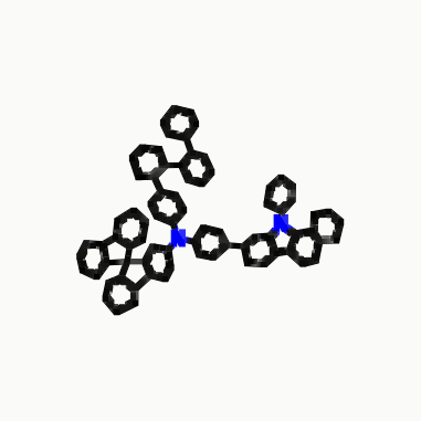 c1ccc(-c2ccccc2-c2ccccc2-c2ccc(N(c3ccc(-c4ccc5c6ccc7ccccc7c6n(-c6ccccc6)c5c4)cc3)c3ccc4c(c3)C3(c5ccccc5-c5ccccc53)c3ccccc3-4)cc2)cc1